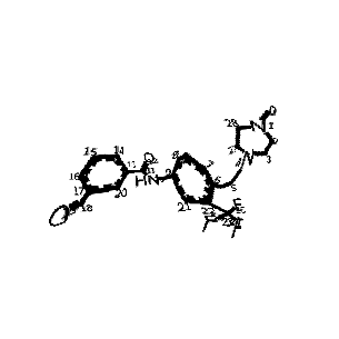 CN1CCN(Cc2ccc(NC(=O)c3cccc(C=O)c3)cc2C(F)(F)F)CC1